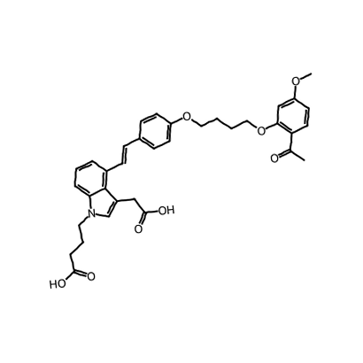 COc1ccc(C(C)=O)c(OCCCCOc2ccc(C=Cc3cccc4c3c(CC(=O)O)cn4CCCC(=O)O)cc2)c1